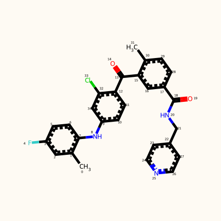 Cc1cc(F)ccc1Nc1ccc(C(=O)c2cc(C(=O)NCc3ccncc3)ccc2C)c(Cl)c1